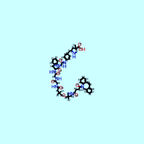 CNC(Cc1ccc(NC(=O)CNC(=O)C(Cc2ccccc2)NC(=O)CNC(=O)CNC(=O)CC(C)(C)COCC(C)(C)CNC(=O)CCC(=O)N2Cc3ccccc3C#Cc3ccccc32)cc1)CC(C)(C)C(=O)O